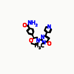 Cn1c(N2CCCO[C@@H](c3ccc(C(N)=O)cc3)C2)nc(-c2ccncc2)cc1=O